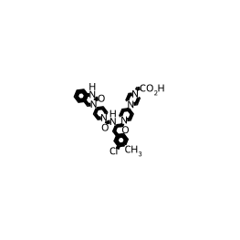 Cc1ccc(CC(NC(=O)N2CCC(N3Cc4ccccc4NC3=O)CC2)C(=O)N2CCC(N3CCN(CC(=O)O)CC3)CC2)cc1Cl